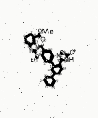 CCOc1nc2cccc(C(=O)OC)c2n1Cc1ccc(-c2cc(-c3ccccc3)ccc2-c2noc(=O)[nH]2)cc1